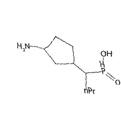 CCCC(C1CCC(N)C1)[PH](=O)O